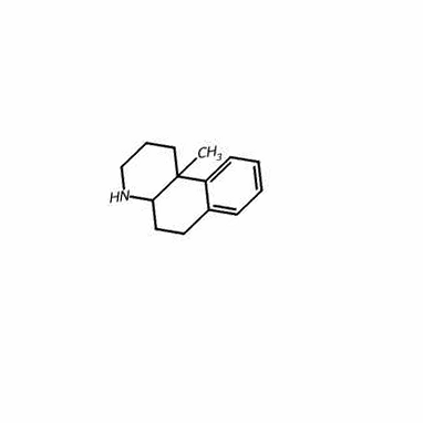 CC12CCCNC1CCc1ccccc12